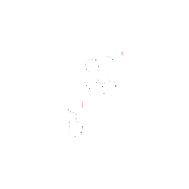 O=C(O)COc1ccc(Cl)cc1[C@@H]1c2ccccc2CCN1C(=O)OCc1noc2ccccc12